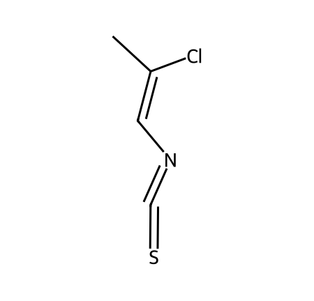 CC(Cl)=CN=C=S